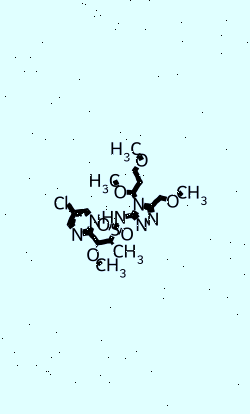 COCCC(OC)n1c(COC)nnc1NS(=O)(=O)[C@@H](C)[C@H](OC)c1ncc(Cl)cn1